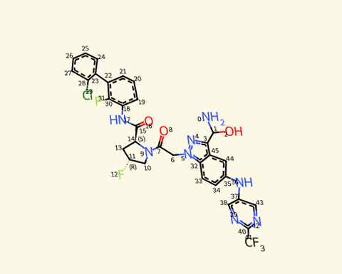 NC(O)c1nn(CC(=O)N2C[C@H](F)C[C@H]2C(=O)Nc2cccc(-c3ccccc3Cl)c2F)c2ccc(Nc3cnc(C(F)(F)F)nc3)cc12